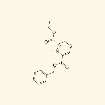 CCOC(=O)[C@@H]1CSC=C(C(=O)OCc2ccccc2)N1